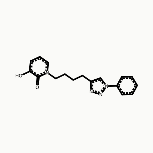 O=c1c(O)cccn1CCCCc1cn(-c2ccccc2)nn1